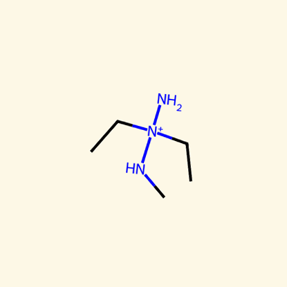 CC[N+](N)(CC)NC